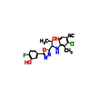 [C-]#[N+]c1ccc(NC(c2nnc(-c3ccc(F)c(O)c3)o2)[C@@H](C)O)c(C)c1Cl